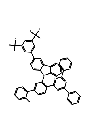 Fc1ccccc1-c1ccc(-c2nc(-c3ccccc3)nc(-c3ccccc3)n2)c(-n2c3ccccc3c3cc(-c4cc(C(F)(F)F)cc(C(F)(F)F)c4)ccc32)c1